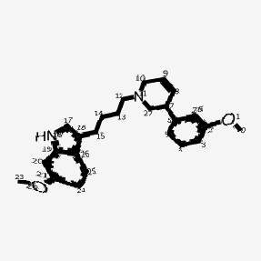 COc1cccc(C2C=CCN(CCCCc3c[nH]c4cc(OC)ccc34)C2)c1